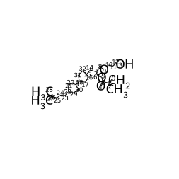 C=C(C)C(=O)OCC(COCCCO)CC1CCC(C2CCC(CCCC(C)C)CC2)CC1